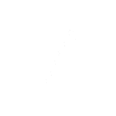 CCCCCCC=CCCC(C)=O